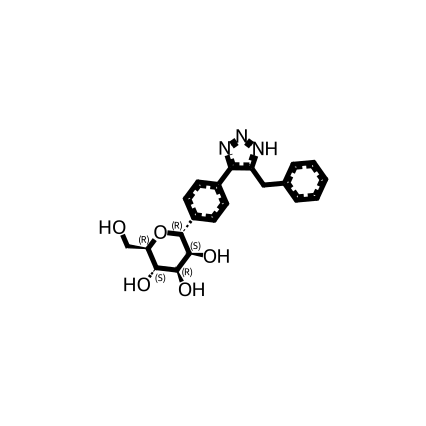 OC[C@H]1O[C@H](c2ccc(-c3nn[nH]c3Cc3ccccc3)cc2)[C@@H](O)[C@@H](O)[C@@H]1O